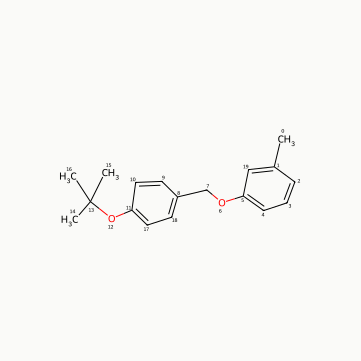 Cc1cccc(OCc2ccc(OC(C)(C)C)cc2)c1